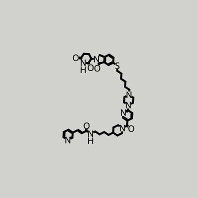 O=C(/C=C/c1cccnc1)NCCCCC1CCN(C(=O)c2ccc(N3CCN(CCCCCCSc4ccc5c(c4)C(=O)N(C4CCC(=O)NC4=O)C5)CC3)nc2)CC1